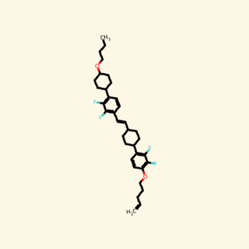 C=CCCCOc1ccc(C2CCC(/C=C/c3ccc(C4CCC(OCCCC)CC4)c(F)c3F)CC2)c(F)c1F